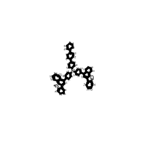 c1ccc(-c2ccc(-c3ccc(N(c4ccc(-c5cc6c7ccccc7oc6c6ccccc56)cc4)c4ccc(-c5cc6c7ccccc7oc6c6ccccc56)cc4)cc3)cc2)cc1